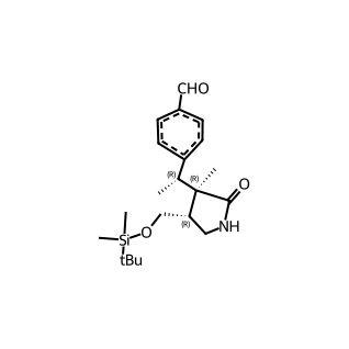 C[C@H](c1ccc(C=O)cc1)[C@@]1(C)C(=O)NC[C@@H]1CO[Si](C)(C)C(C)(C)C